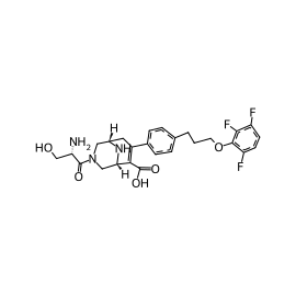 N[C@@H](CO)C(=O)N1C[C@@H]2CC(c3ccc(CCCOc4c(F)ccc(F)c4F)cc3)=C(C(=O)O)[C@H](C1)N2